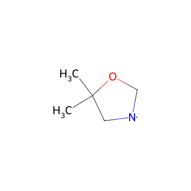 CC1(C)C[N]CO1